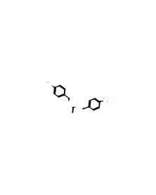 CC(OCc1ccc(N)cc1)OCc1ccc(N)cc1